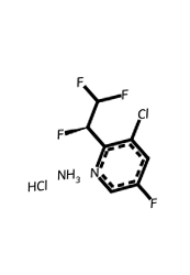 Cl.Fc1cnc([C@@H](F)C(F)F)c(Cl)c1.N